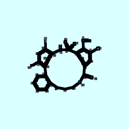 COc1c(Cl)cc2cc1S(=O)(=O)Nc1cc(c(F)cc1F)-c1ccccc1CCCOC2=O